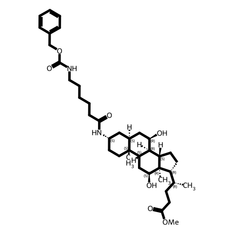 COC(=O)CC[C@@H](C)[C@H]1CC[C@H]2[C@@H]3[C@H](O)C[C@@H]4C[C@@H](NC(=O)CCCCCNC(=O)OCc5ccccc5)CC[C@]4(C)[C@H]3C[C@H](O)[C@]12C